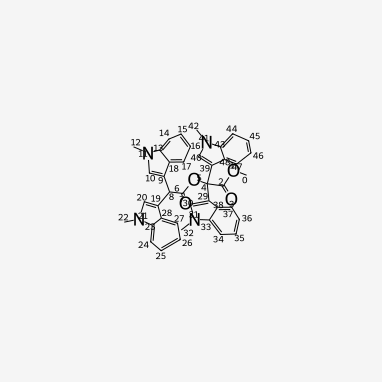 COC(=O)C(OC(=O)C(c1cn(C)c2ccccc12)c1cn(C)c2ccccc12)(c1cn(C)c2ccccc12)c1cn(C)c2ccccc12